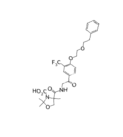 CC1(C)OCC(C)(C(=O)NCC(=O)c2ccc(OCCOCCc3ccccc3)c(C(F)(F)F)c2)N1C(=O)O